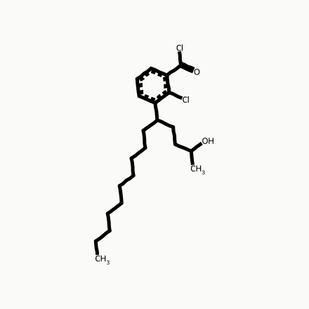 CCCCCCCCCCC(CCC(C)O)c1cccc(C(=O)Cl)c1Cl